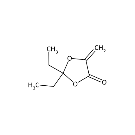 C=C1OC(CC)(CC)OC1=O